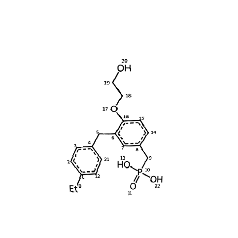 CCc1ccc(Cc2cc(CP(=O)(O)O)ccc2OCCO)cc1